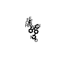 COc1cncc(-c2cccc(C3(c4ccncc4)N=C(NOC(=O)C(F)(F)F)c4ccccc43)c2)c1